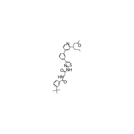 CCCC(CC(C)=O)c1cc(-c2cccc(-c3csc(NC(=O)CNC(=O)c4cccc(C(C)(C)C)c4)n3)c2)ccn1